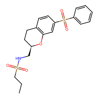 CCCS(=O)(=O)NC[C@H]1CCc2ccc(S(=O)(=O)c3ccccc3)cc2O1